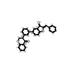 O=C1/C(=C/c2ccccc2)Oc2ccc(-c3cccc(C4COc5ccccc5C4=O)c3)cc21